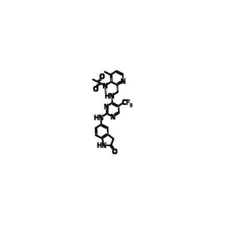 Cc1ccnc(CNc2nc(Nc3ccc4c(c3)CC(=O)N4)ncc2C(F)(F)F)c1N(C)S(C)(=O)=O